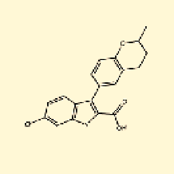 CC1CCc2cc(-c3c(C(=O)O)sc4cc(Cl)ccc34)ccc2O1